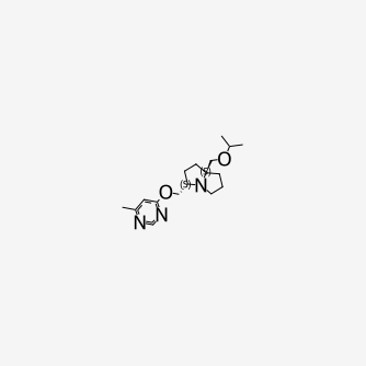 Cc1cc(OC[C@@H]2CC[C@]3(COC(C)C)CCCN23)ncn1